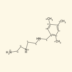 Cc1cc(C)c(CNCCNCCN)cc1C